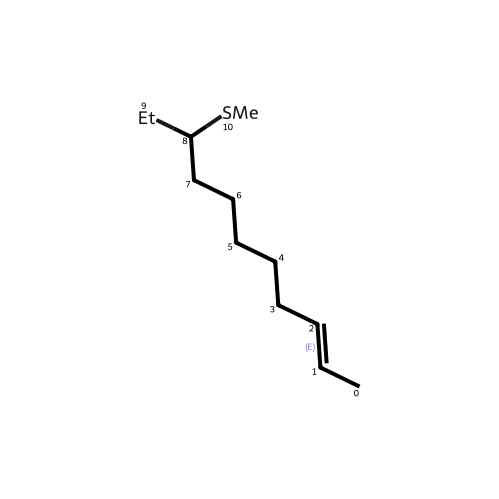 C/C=C/CCCCCC(CC)SC